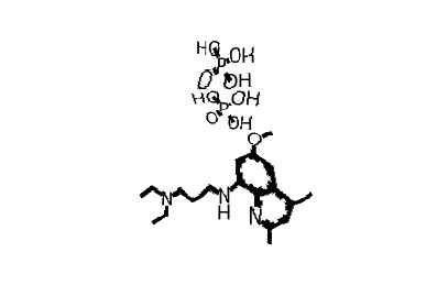 CCN(CC)CCCNc1cc(OC)cc2c(C)cc(C)nc12.O=P(O)(O)O.O=P(O)(O)O